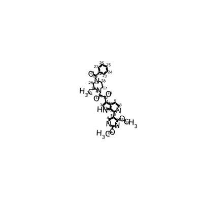 COc1ncc(-c2nccc3c(C(=O)C(=O)N4CCN(C(=O)c5ccccc5)CC4C)c[nH]c23)c(OC)n1